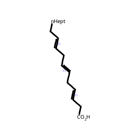 CCCCCCCC/C=C/C/C=C/C/C=C/CC(=O)O